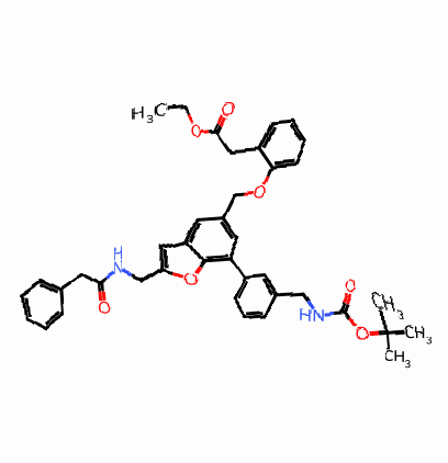 CCOC(=O)Cc1ccccc1OCc1cc(-c2cccc(CNC(=O)OC(C)(C)C)c2)c2oc(CNC(=O)Cc3ccccc3)cc2c1